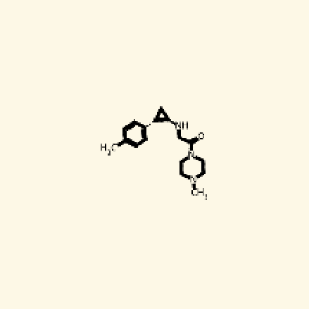 Cc1ccc([C@@H]2C[C@H]2NCC(=O)N2CCN(C)CC2)cc1